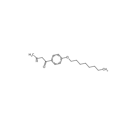 CBCC(=O)c1ccc(OCCCCCCCC)cc1